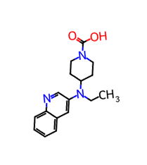 CCN(c1cnc2ccccc2c1)C1CCN(C(=O)O)CC1